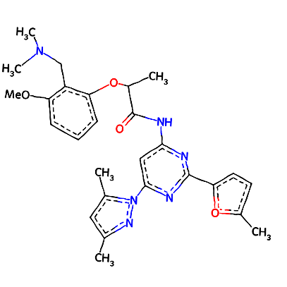 COc1cccc(OC(C)C(=O)Nc2cc(-n3nc(C)cc3C)nc(-c3ccc(C)o3)n2)c1CN(C)C